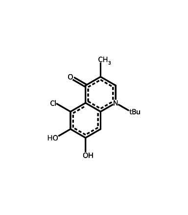 Cc1cn(C(C)(C)C)c2cc(O)c(O)c(Cl)c2c1=O